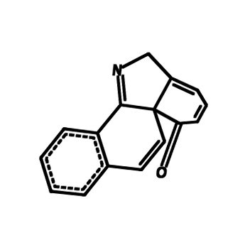 O=C1C=CC=C2CN=C3c4ccccc4C=CC123